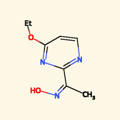 CCOc1ccnc(/C(C)=N\O)n1